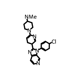 CNC1CCN(C2=CCC(c3nc4ccncc4n3C3=CCC(Cl)C=C3)C=N2)CC1